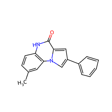 Cc1ccc2[nH]c(=O)c3cc(-c4ccccc4)cn3c2c1